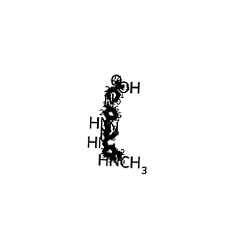 Cc1cc2cc(Nc3ccnc(Nc4cccc(CN5CCC(C(=O)O)CC5)c4)n3)ccc2[nH]1